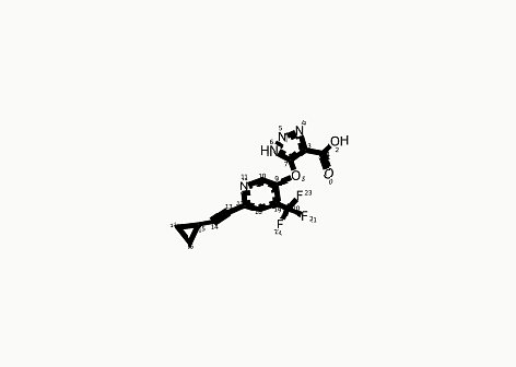 O=C(O)c1nn[nH]c1Oc1cnc(C#CC2CC2)cc1C(F)(F)F